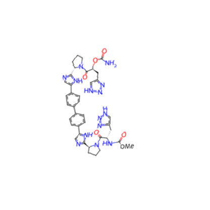 COC(=O)N[C@@H](Cc1c[nH]nn1)C(=O)N1CCC[C@H]1c1ncc(-c2ccc(-c3ccc(-c4cnc([C@@H]5CCCN5C(=O)[C@H](Cc5c[nH]nn5)OC(N)=O)[nH]4)cc3)cc2)[nH]1